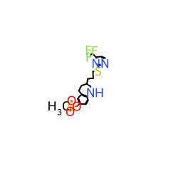 CS(=O)(=O)Oc1ccc2c(c1)CCC(CCCSc1nccc(C(F)(F)F)n1)CN2